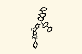 c1ccc(-c2ccc(N(c3ccc4cc(-c5ccccc5)ccc4c3)c3ccc4oc5cc6nc(-c7ccccc7)sc6cc5c4c3)cc2)cc1